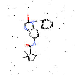 CC1(C)CCCC1C(=O)Nc1ccc2c(c1)ncc(=O)n2Cc1ccccc1